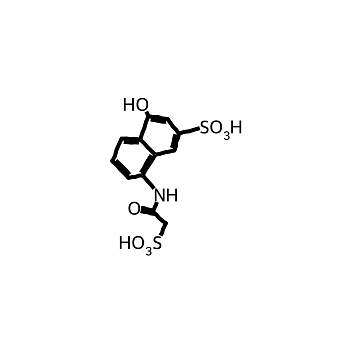 O=C(CS(=O)(=O)O)Nc1cccc2c(O)cc(S(=O)(=O)O)cc12